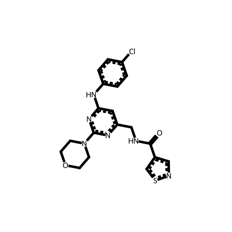 O=C(NCc1cc(Nc2ccc(Cl)cc2)nc(N2CCOCC2)n1)c1cnsc1